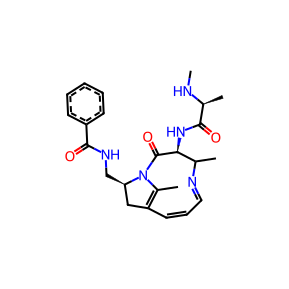 CN[C@@H](C)C(=O)N[C@@H]1C(=O)N2C(C)=C(/C=C\C=N\C1C)C[C@H]2CNC(=O)c1ccccc1